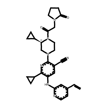 C=Cc1ccnc(Nc2cc(C#N)c(N3CCN(C(=O)CN4CCCC4=O)[C@H](C4CC4)C3)nc2C2CC2)c1